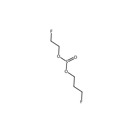 O=S(OCCF)OCCCF